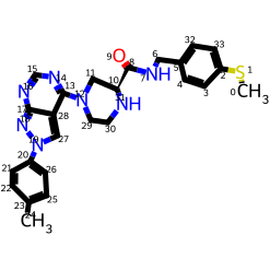 CSc1ccc(CNC(=O)[C@@H]2CN(c3ncnc4nn(-c5ccc(C)cc5)cc34)CCN2)cc1